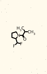 CC(C)C(=O)N1CCCC1C(F)F